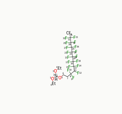 CCO[SiH](OCC)OCCC(F)(F)C(F)C(F)(F)C(F)(F)C(F)(F)C(F)(F)C(F)(F)C(F)(F)C(F)(F)C(F)(F)F